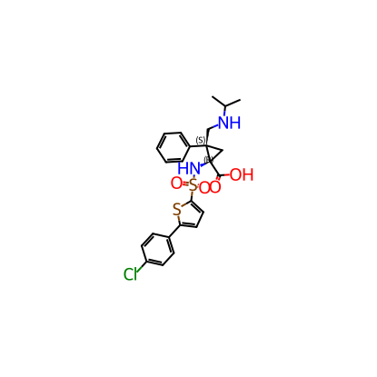 CC(C)NC[C@@]1(c2ccccc2)C[C@]1(NS(=O)(=O)c1ccc(-c2ccc(Cl)cc2)s1)C(=O)O